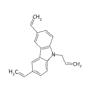 C=CCn1c2ccc(C=C)cc2c2cc(C=C)ccc21